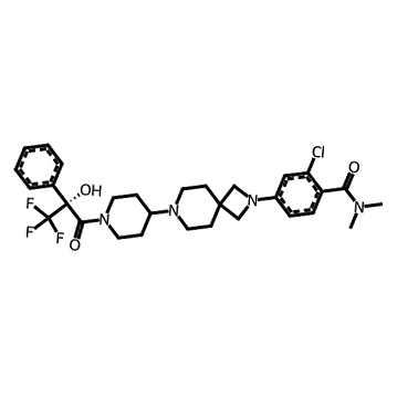 CN(C)C(=O)c1ccc(N2CC3(CCN(C4CCN(C(=O)[C@](O)(c5ccccc5)C(F)(F)F)CC4)CC3)C2)cc1Cl